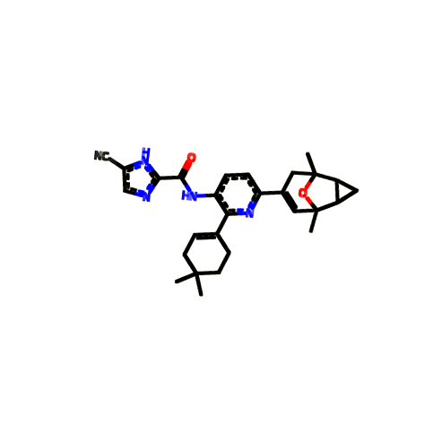 CC1(C)CC=C(c2nc(C3=CC4(C)OC(C)(C3)C3CC34)ccc2NC(=O)c2ncc(C#N)[nH]2)CC1